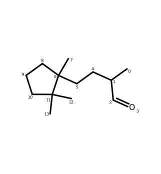 CC(C=O)CCC1(C)CCCC1(C)C